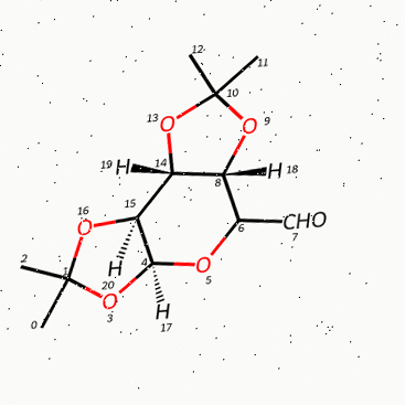 CC1(C)O[C@@H]2OC(C=O)[C@H]3OC(C)(C)O[C@H]3[C@@H]2O1